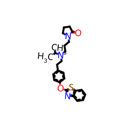 CC(C)N(CCCN1CCCC1=O)CCc1ccc(Oc2nc3ccccc3s2)cc1